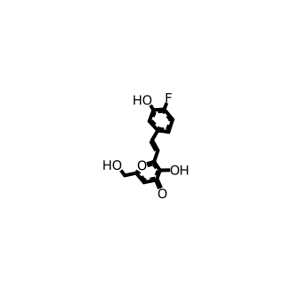 O=c1cc(CO)oc(C=Cc2ccc(F)c(O)c2)c1O